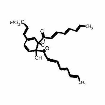 CC=CC=CC=CC(=O)C1(O)C=CC(/C=C/C(=O)O)=CC1(O)C(=O)C=CC=CC=CC